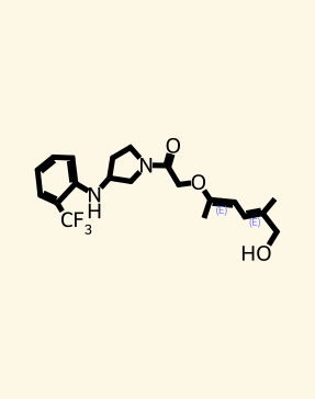 C/C(=C\C=C(/C)OCC(=O)N1CCC(Nc2ccccc2C(F)(F)F)C1)CO